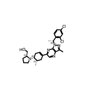 Cc1nn([C@H](C)c2ccc(Cl)cc2Cl)c2nc(C3=CC[C@@H](N4CCC[C@H]4CO)[C@@H](C)C3)cnc12